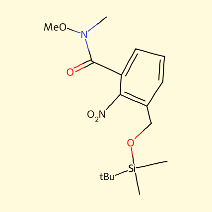 CON(C)C(=O)c1cccc(CO[Si](C)(C)C(C)(C)C)c1[N+](=O)[O-]